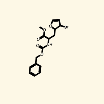 COC(=O)C(CC1OC=CC1Br)NC(=O)OCc1ccccc1